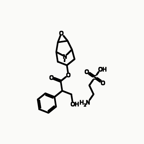 CN1C2CC(OC(=O)C(CO)c3ccccc3)CC1C1OC12.NCCS(=O)(=O)O